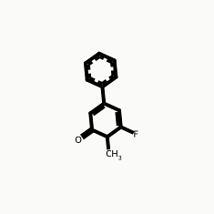 CC1C(=O)C=C(c2ccccc2)C=C1F